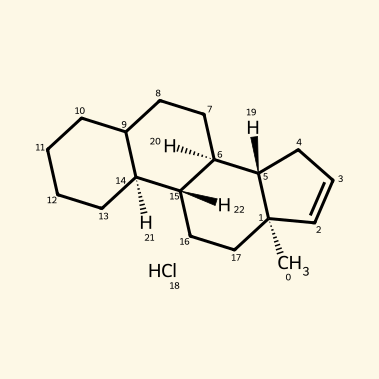 C[C@@]12C=CC[C@H]1[C@@H]1CCC3CCCC[C@@H]3[C@H]1CC2.Cl